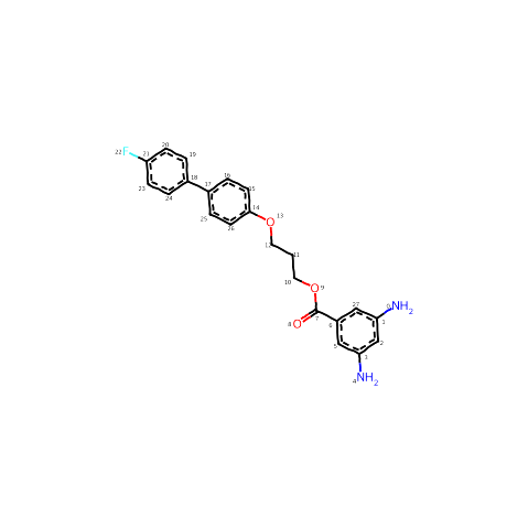 Nc1cc(N)cc(C(=O)OCCCOc2ccc(-c3ccc(F)cc3)cc2)c1